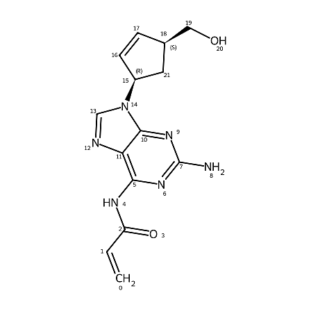 C=CC(=O)Nc1nc(N)nc2c1ncn2[C@H]1C=C[C@@H](CO)C1